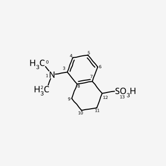 CN(C)c1cccc2c1CCCC2S(=O)(=O)O